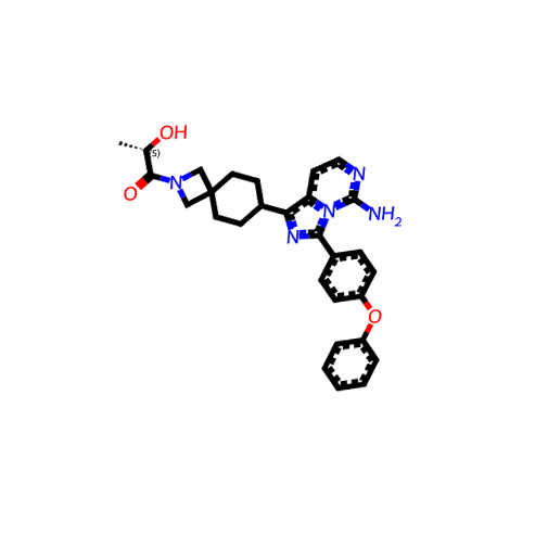 C[C@H](O)C(=O)N1CC2(CCC(c3nc(-c4ccc(Oc5ccccc5)cc4)n4c(N)nccc34)CC2)C1